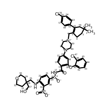 CC1(C)CCC(CN2CCN(c3ccc(C(=O)N[S+]([O-])c4ccc(NCC5(CO)CCOCC5)c([N+](=O)[O-])c4)c(Oc4ccccc4Cl)c3)CC2)=C(c2ccc(Cl)cc2)C1